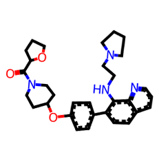 O=C(C1CCCO1)N1CCC(Oc2ccc(-c3ccc4cccnc4c3NCCN3CCCC3)cc2)CC1